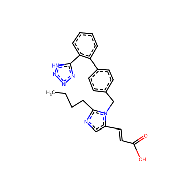 CCCCc1ncc(C=CC(=O)O)n1Cc1ccc(-c2ccccc2-c2nnn[nH]2)cc1